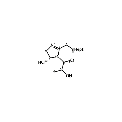 CCCCCCCCC1=NCCN1C(CC)C(C)O.Cl